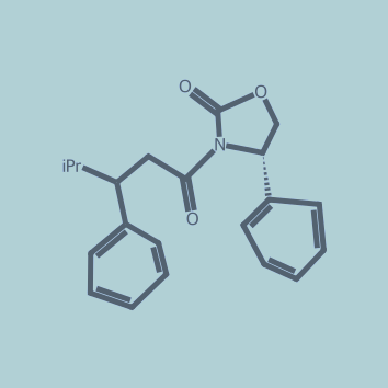 CC(C)C(CC(=O)N1C(=O)OC[C@@H]1c1ccccc1)c1ccccc1